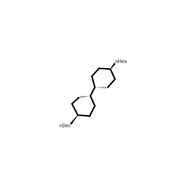 CCCCCCCCCC[C@H]1CC[C@H]([C@H]2CC[C@H](CCCCCC)CC2)CC1